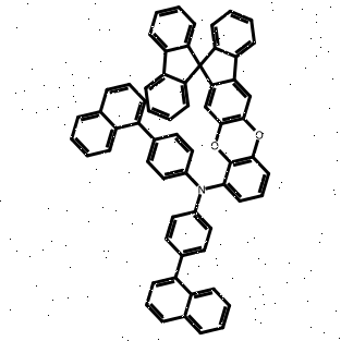 c1ccc2c(c1)-c1ccccc1C21c2ccccc2-c2cc3c(cc21)Oc1c(cccc1N(c1ccc(-c2cccc4ccccc24)cc1)c1ccc(-c2cccc4ccccc24)cc1)O3